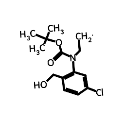 [CH2]CN(C(=O)OC(C)(C)C)c1cc(Cl)ccc1CO